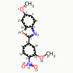 COc1ccc2nc(-c3ccc([N+](=O)[O-])c(OC)c3)sc2c1